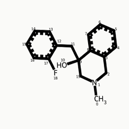 CN1Cc2ccccc2C(O)(Cc2ccccc2F)C1